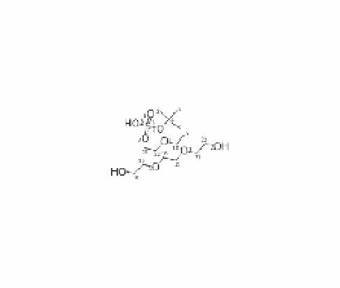 CC(C)(C)OS(=O)(=O)O.CCOCC.OCCOCCOCCO